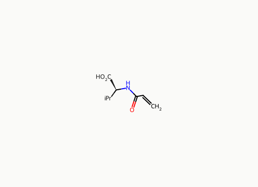 C=CC(=O)N[C@H](C(=O)O)C(C)C